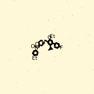 CCOc1cc(-c2ccc(F)cc2)c(C2CC2)cc1CN1CCC2(CC1)CN(c1ccc(CC)cc1)C(=O)O2